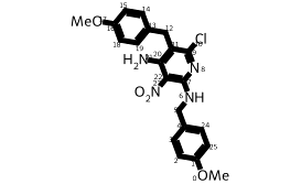 COc1ccc(CNc2nc(Cl)c(Cc3ccc(OC)cc3)c(N)c2[N+](=O)[O-])cc1